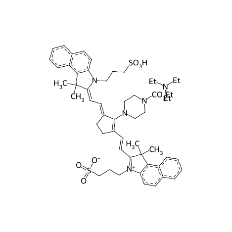 CCN(CC)CC.CCOC(=O)N1CCN(C2=C(C=CC3=[N+](CCCS(=O)(=O)[O-])c4ccc5ccccc5c4C3(C)C)CCC2=CC=C2N(CCCS(=O)(=O)O)c3ccc4ccccc4c3C2(C)C)CC1